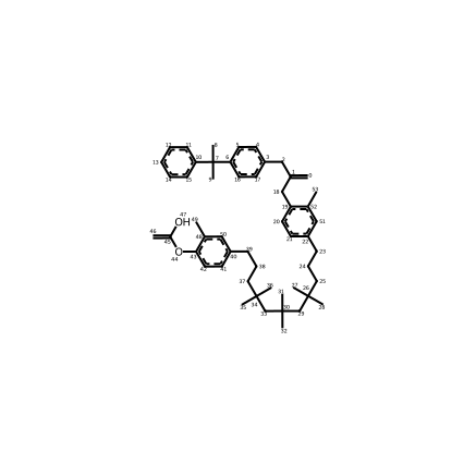 C=C(Cc1ccc(C(C)(C)c2ccccc2)cc1)Cc1ccc(CCCC(C)(C)CC(C)(C)CC(C)(C)CCCc2ccc(OC(=C)O)c(C)c2)cc1C